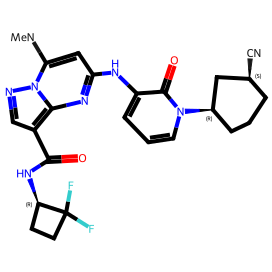 CNc1cc(Nc2cccn([C@@H]3CCC[C@H](C#N)C3)c2=O)nc2c(C(=O)N[C@@H]3CCC3(F)F)cnn12